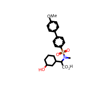 COc1ccc(-c2ccc(S(=O)(=O)N(C)C(C(=O)O)C3CCCC(O)C3)cc2)cc1